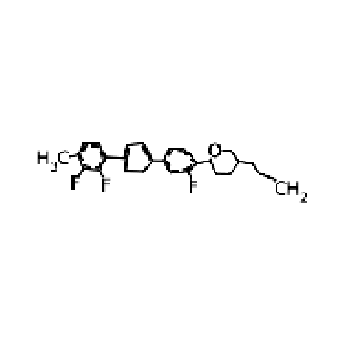 C=CCCC1CCC(c2ccc(C3=CC=C(c4ccc(C)c(F)c4F)CC3)cc2F)OC1